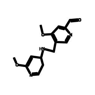 COC1=CC(NCc2cnc(C=O)cc2OC)CC=N1